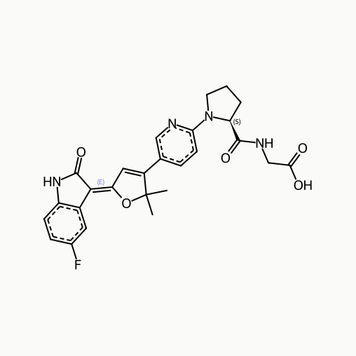 CC1(C)O/C(=C2/C(=O)Nc3ccc(F)cc32)C=C1c1ccc(N2CCC[C@H]2C(=O)NCC(=O)O)nc1